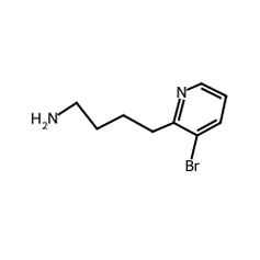 NCCCCc1ncccc1Br